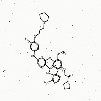 COc1cc(OCC(=O)N2CCCC2)ccc1Oc1nc(Nc2ccc(OCCCN3CCCCC3)c(F)c2)ncc1C(=O)Nc1c(C)cccc1C